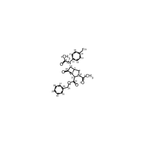 CC(=O)N1CC2[C@@H](N(C(C)=O)c3ccc(F)cc3)C(=O)N2C1C(=O)OCc1ccccc1